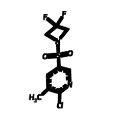 Cc1cc(S(=O)(=O)N2CC(F)(F)C2)cnc1Cl